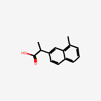 Cc1cccc2ccc(C(C)C(=O)O)cc12